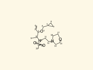 C=CC(OCC1CC1)C(C)N(CCN1CCOCC1)S(C)(=O)=O